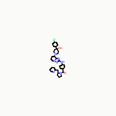 O=C(c1ccc(Nc2nc3c(N4CCC(O)(c5ccc(Cl)cc5)CC4)cccn3n2)cc1)N1CCCC1Cc1ccccn1